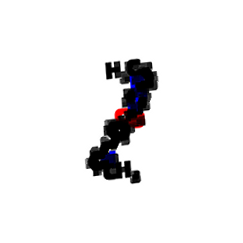 Cc1cccc(CCc2ccc(OC(=O)N3CCN(c4cccc(C)n4)CC3)cc2)n1